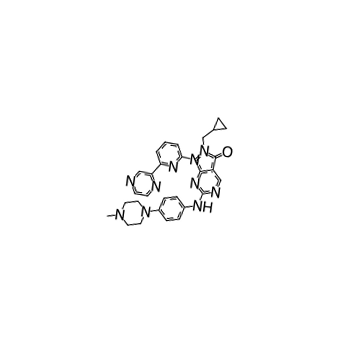 CN1CCN(c2ccc(Nc3ncc4c(=O)n(CC5CC5)n(-c5cccc(-c6cnccn6)n5)c4n3)cc2)CC1